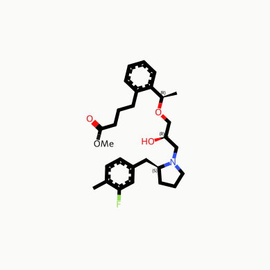 COC(=O)CCCc1ccccc1[C@@H](C)OC[C@H](O)CN1CCC[C@H]1Cc1ccc(C)c(F)c1